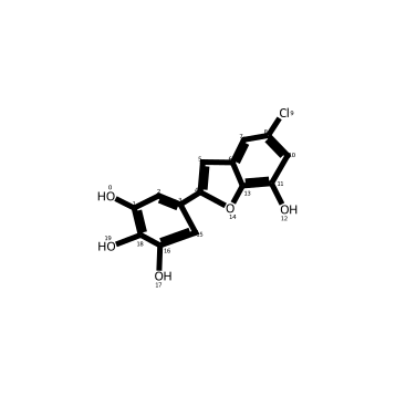 Oc1cc(-c2cc3cc(Cl)cc(O)c3o2)cc(O)c1O